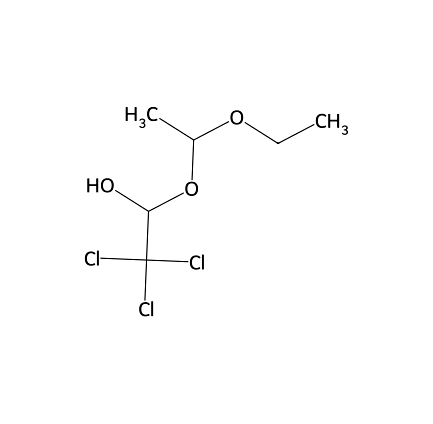 CCOC(C)OC(O)C(Cl)(Cl)Cl